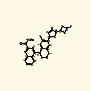 CNC(=O)c1cc2cccnc2c(N2CCCc3cc(-c4cnn(C5CN(C)C5)c4)c(C)cc32)n1